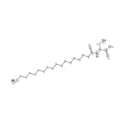 CCCCCCCCCCCCCCCCCC(=O)NC(CS)C(=O)[O-].[Li+]